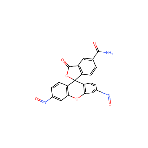 NC(=O)c1ccc2c(c1)C(=O)OC21c2ccc(N=O)cc2Oc2cc(N=O)ccc21